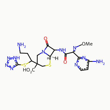 CON=C(C(=O)NC1C(=O)N2CC(C(=O)O)(C(CCN)Sc3nnn[nH]3)CS[C@H]12)c1nccc(N)n1